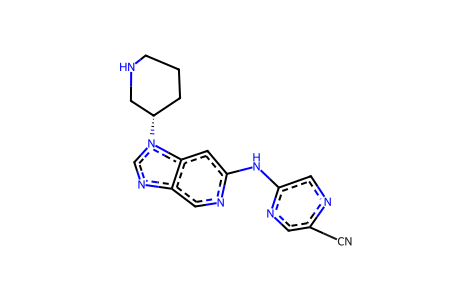 N#Cc1cnc(Nc2cc3c(cn2)ncn3[C@H]2CCCNC2)cn1